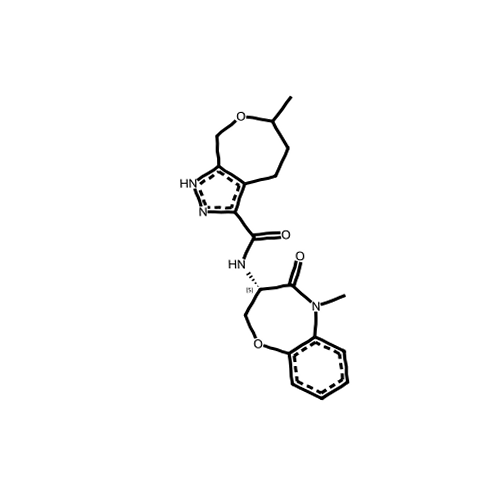 CC1CCc2c(C(=O)N[C@H]3COc4ccccc4N(C)C3=O)n[nH]c2CO1